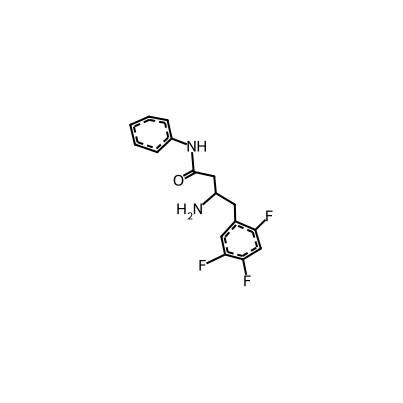 NC(CC(=O)Nc1ccccc1)Cc1cc(F)c(F)cc1F